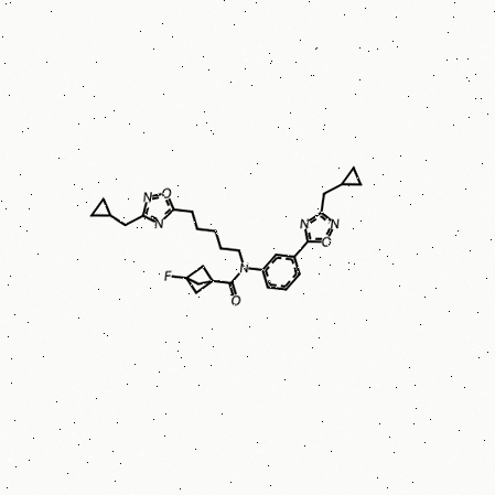 O=C(N(CCCCCc1nc(CC2CC2)no1)c1cccc(-c2nc(CC3CC3)no2)c1)C12CC(F)(C1)C2